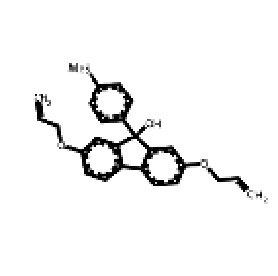 C=CCOc1ccc2c(c1)C(O)(c1ccc(SC)cc1)c1cc(OCC=C)ccc1-2